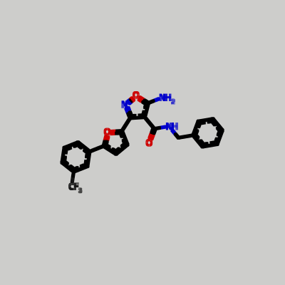 Nc1onc(-c2ccc(-c3cccc(C(F)(F)F)c3)o2)c1C(=O)NCc1ccccc1